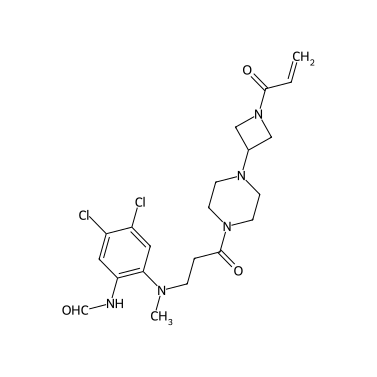 C=CC(=O)N1CC(N2CCN(C(=O)CCN(C)c3cc(Cl)c(Cl)cc3NC=O)CC2)C1